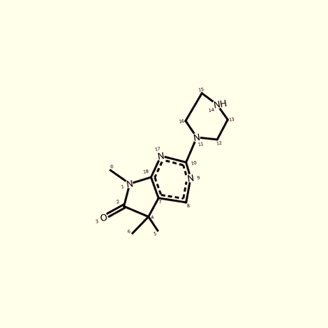 CN1C(=O)C(C)(C)c2cnc(N3CCNCC3)nc21